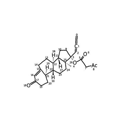 C=C=C[C@]1(OC(=O)CC(C)=O)CC[C@H]2[C@@H]3CCC4=CC(=O)CC[C@@H]4[C@H]3CC[C@@]21C